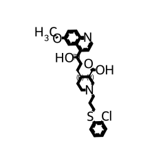 COc1ccc2nccc([C@H](O)CC[C@@H]3CCN(CCCSc4ccccc4Cl)C[C@@H]3C(=O)O)c2c1